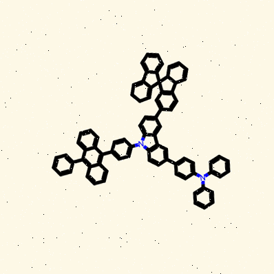 C1=CC2c3ccc(-c4ccc5c(c4)c4cc(-c6ccc(N(c7ccccc7)c7ccccc7)cc6)ccc4n5-c4ccc(-c5c6ccccc6c(-c6ccccc6)c6ccccc56)cc4)cc3C3(C4=CCCC=C4c4ccccc43)C2C=C1